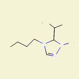 CCCCN1C=NN(C)C1C(C)C